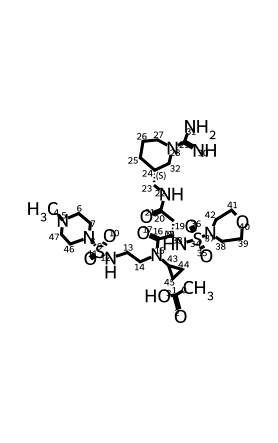 CC(=O)O.CN1CCN(S(=O)(=O)NCCN(C(=O)[C@H](CC(=O)NC[C@@H]2CCCN(C(=N)N)C2)NS(=O)(=O)N2CCOCC2)C2CC2)CC1